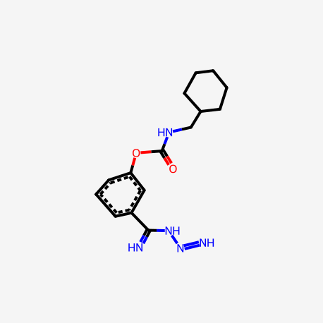 N=NNC(=N)c1cccc(OC(=O)NCC2CCCCC2)c1